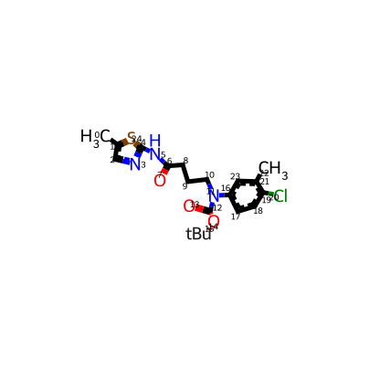 Cc1cnc(NC(=O)CCCN(C(=O)OC(C)(C)C)c2ccc(Cl)c(C)c2)s1